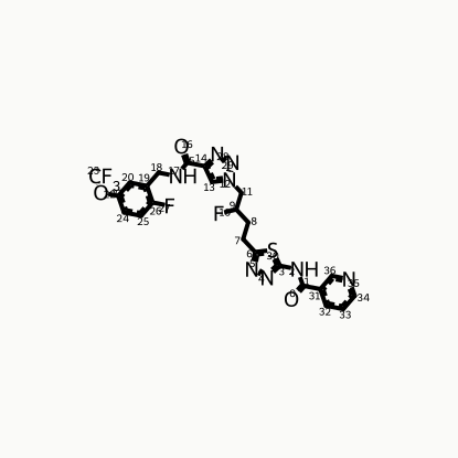 O=C(Nc1nnc(CCC(F)Cn2cc(C(=O)NCc3cc(OC(F)(F)F)ccc3F)nn2)s1)c1cccnc1